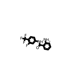 Nc1ccccc1C(=O)Nc1ccc(C(F)(F)F)c(F)c1